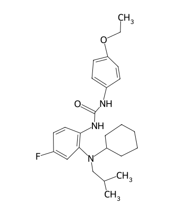 CCOc1ccc(NC(=O)Nc2ccc(F)cc2N(CC(C)C)C2CCCCC2)cc1